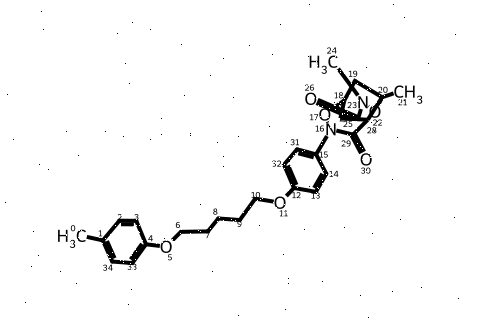 Cc1ccc(OCCCCCOc2ccc(N3OC4CC5(C)ON(C)C(=O)C4C5C3=O)cc2)cc1